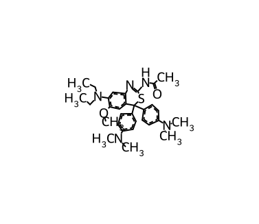 CCN(CC)c1cc2c(cc1OC)C(c1ccc(N(C)C)cc1)(c1ccc(N(C)C)cc1)SC(NC(C)=O)=N2